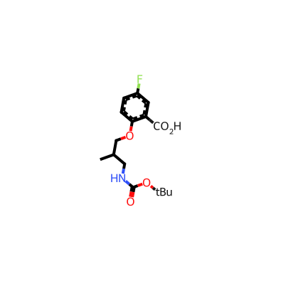 CC(CNC(=O)OC(C)(C)C)COc1ccc(F)cc1C(=O)O